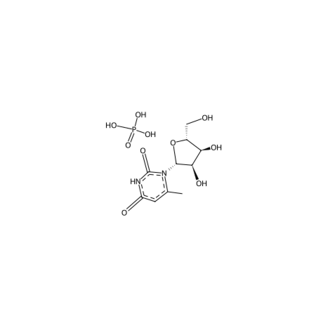 Cc1cc(=O)[nH]c(=O)n1[C@@H]1O[C@H](CO)[C@@H](O)[C@H]1O.O=P(O)(O)O